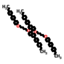 CCCc1ccc(-c2ccc(-c3ccc(OCCCCCCOc4ccc5cc(-c6ccc(C7CCC(CCC)CC7)cc6)ccc5c4-c4c(OCCCCCCOc5ccc(-c6ccc(-c7ccc(CCC)cc7)cc6)cc5)ccc5cc(-c6ccc(C7CCC(CCC)CC7)cc6)ccc45)cc3)cc2)cc1